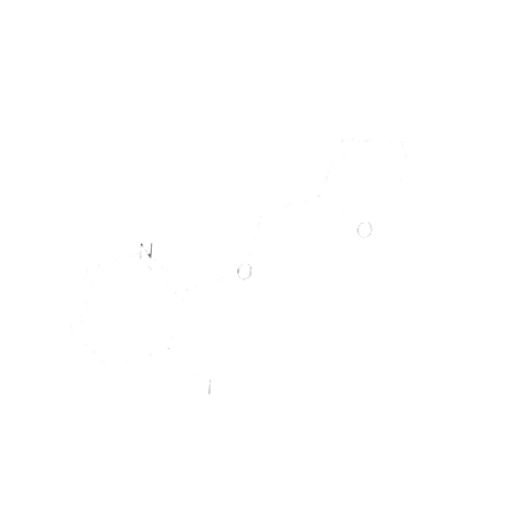 Ic1cccnc1OCc1ccco1